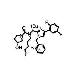 CC(C)(C)[C@H](c1nc(-c2cc(F)ccc2F)cn1Cc1ccccc1)N(CC[C@H](N)CF)C(=O)N1CC[C@@H](O)C1